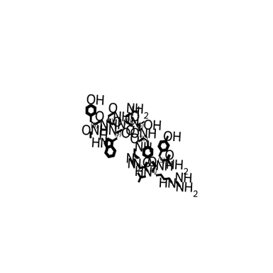 CC(=O)N[C@@H](Cc1ccc(O)cc1)C(=O)N[C@@H](CC(N)=O)C(=O)N[C@@H](Cc1c[nH]c2ccccc12)C(=O)N[C@@H](CC(N)=O)C(=O)N[C@@H](CO)C(=O)N[C@@H](Cc1ccccc1)C(=O)NCc1cn([C@@H](CC(C)C)C(=O)N[C@@H](CCCCNC(=N)N)C(=O)N[C@@H](Cc2ccc(O)cc2)C(N)=O)nn1